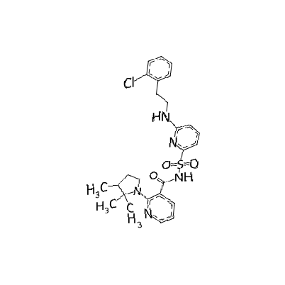 CC1CCN(c2ncccc2C(=O)NS(=O)(=O)c2cccc(NCCc3ccccc3Cl)n2)C1(C)C